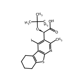 Cc1nc2sc3c(c2c(I)c1[C@@H](OC(C)(C)C)C(=O)O)CCCC3